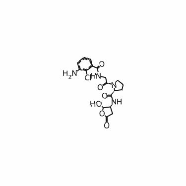 Nc1cccc(C(=O)NCC(=O)N2CCC[C@H]2C(=O)N[C@H]2CC(=O)O[C@H]2O)c1Cl